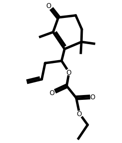 C=CCC(OC(=O)C(=O)OCC)C1=C(C)C(=O)CCC1(C)C